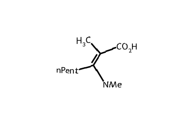 CCCCCC(NC)=C(C)C(=O)O